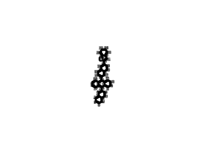 c1ccc2cc(-c3c4ccccc4c(-c4ccc5cc(-c6cc7ccccc7o6)ccc5c4)c4ccccc34)ccc2c1